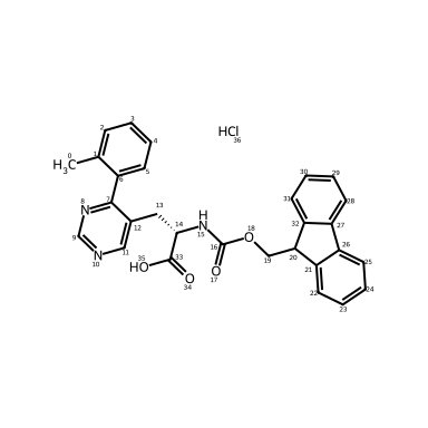 Cc1ccccc1-c1ncncc1C[C@H](NC(=O)OCC1c2ccccc2-c2ccccc21)C(=O)O.Cl